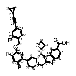 O=C(O)c1ccc2nc(CN3CC=C(c4nc(OCc5ccc(C#CC6CC6)cc5F)c(F)cc4F)CC3)n(C[C@@H]3CCO3)c2c1